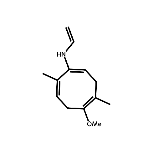 C=CNC1=C/C/C(C)=C(/OC)C/C=C\1C